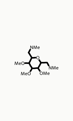 CNCC1OC(CNC)C(OC)C(OC)C1OC